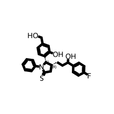 OCc1ccc([C@@H]2[C@H](CCC(O)c3ccc(F)cc3)CC(=S)N2c2ccccc2)c(O)c1